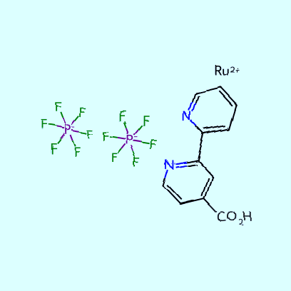 F[P-](F)(F)(F)(F)F.F[P-](F)(F)(F)(F)F.O=C(O)c1ccnc(-c2ccccn2)c1.[Ru+2]